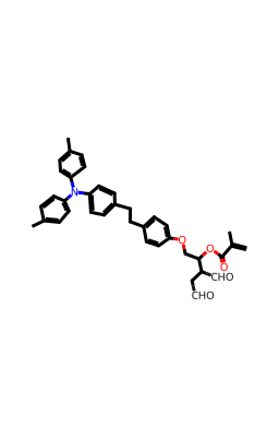 C=C(C)C(=O)OC(COc1ccc(CCc2ccc(N(c3ccc(C)cc3)c3ccc(C)cc3)cc2)cc1)C(C=O)CC=O